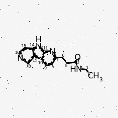 CCNC(=O)CCc1ccc2c(n1)[nH]c1ccncc12